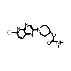 CNC(=O)O[C@H]1CCCN(c2cnc3nc(Cl)ccc3n2)CC1